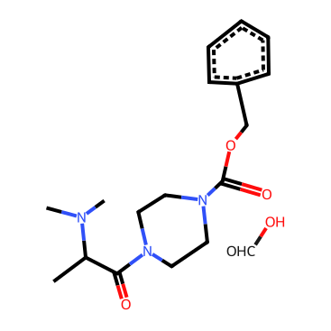 CC(C(=O)N1CCN(C(=O)OCc2ccccc2)CC1)N(C)C.O=CO